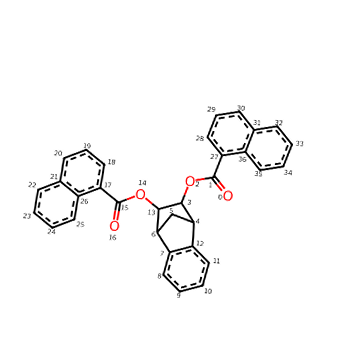 O=C(OC1C2CC(c3ccccc32)C1OC(=O)c1cccc2ccccc12)c1cccc2ccccc12